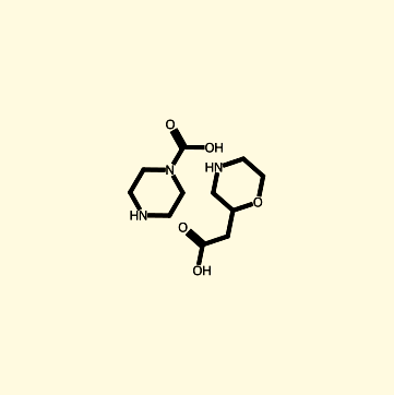 O=C(O)CC1CNCCO1.O=C(O)N1CCNCC1